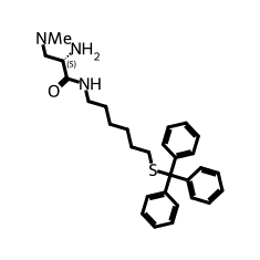 CNC[C@H](N)C(=O)NCCCCCCSC(c1ccccc1)(c1ccccc1)c1ccccc1